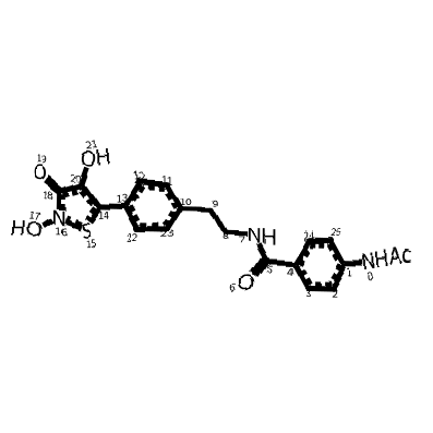 CC(=O)Nc1ccc(C(=O)NCCc2ccc(-c3sn(O)c(=O)c3O)cc2)cc1